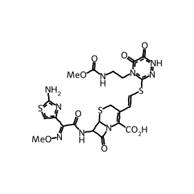 CON=C(C(=O)NC1C(=O)N2C(C(=O)O)=C(C=CSc3n[nH]c(=O)c(=O)n3CCNC(=O)OC)CSC12)c1csc(N)n1